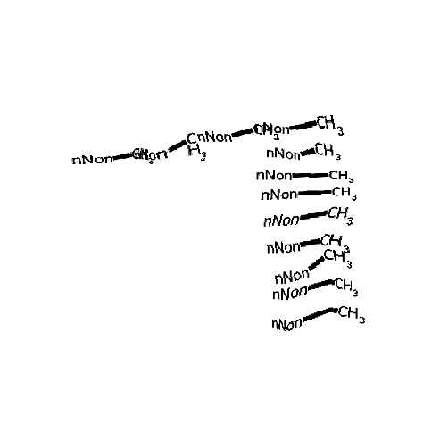 CCCCCCCCCC.CCCCCCCCCC.CCCCCCCCCC.CCCCCCCCCC.CCCCCCCCCC.CCCCCCCCCC.CCCCCCCCCC.CCCCCCCCCC.CCCCCCCCCC.CCCCCCCCCC.CCCCCCCCCC.CCCCCCCCCC